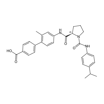 Cc1cc(NC(=O)[C@H]2CCCN2C(=O)Nc2ccc(C(C)C)cc2)ccc1-c1ccc(C(=O)O)cc1